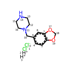 [Cl-].[Cl-].[H+].[H+].c1cc2c(cc1CN1CCNCC1)OCO2